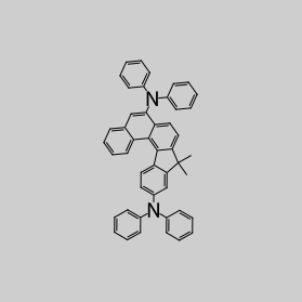 CC1(C)c2cc(N(c3ccccc3)c3ccccc3)ccc2-c2c1ccc1c(N(c3ccccc3)c3ccccc3)cc3ccccc3c21